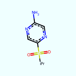 CC(C)S(=O)(=O)c1cnc(N)cn1